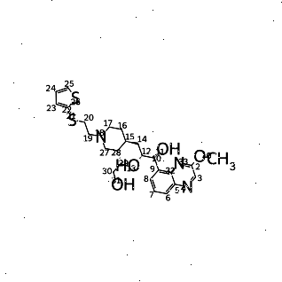 COc1cnc2cccc([C@@H](O)[C@H](O)C[C@@H]3CCN(CCSc4cccs4)C[C@H]3CCO)c2n1